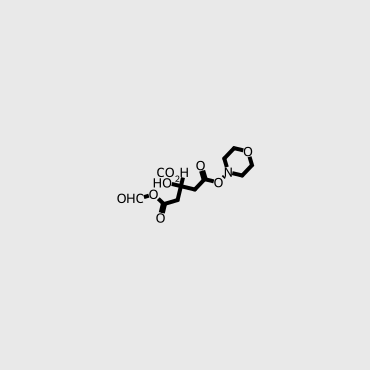 O=COC(=O)CC(O)(CC(=O)ON1CCOCC1)C(=O)O